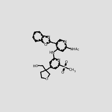 CC(=O)Nc1cc(Nc2cc(C3(CO)CCOC3)cc(S(C)(=O)=O)n2)c(-c2nc3ccccc3o2)cn1